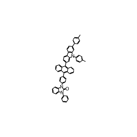 Cc1ccc(-c2ccc3c4ccc(-c5c6ccccc6c(-c6ccc(-n7c(=O)n(-c8ccccc8)c8ccccc87)cc6)c6ccccc56)cc4n(-c4ccc(C)cc4)c3c2)cc1